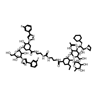 CCC1CC(C(=O)NCCNC(=O)NCCNC(=O)C2CC(n3cc(-c4cccc(F)c4)nn3)C(O)[C@H](O[C@@H]3OC(CO)[C@H](O)C(n4cc(-c5cccc(F)c5)nn4)C3O)C2)C[C@@H](O[C@@H]2OC(CO)[C@H](O)C(O[C@@H](CC3CCCCC3)C(=O)N3CCC3)C2NC(C)=O)C1O[C@@H]1OC(C)[C@@H](O)C(O)C1O